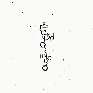 Cc1cc2c(cc1C(F)(F)F)NC(=O)CC(c1cccc(CCCNC(=O)OCc3ccccc3)c1)=N2